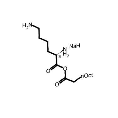 CCCCCCCCCC(=O)OC(=O)[C@@H](N)CCCCN.[NaH]